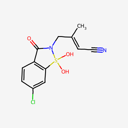 CC(=CC#N)CN1C(=O)c2ccc(Cl)cc2S1(O)O